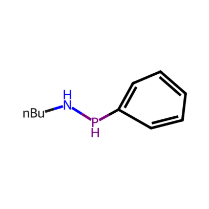 CCCCNPc1ccccc1